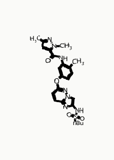 CCCCS(=O)(=O)Nc1cn2nc(Oc3ccc(C)c(NC(=O)c4cc(C)nn4C)c3)ccc2n1